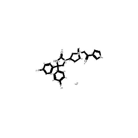 C[N+]1(CC(=O)c2ccsc2)CCC(N2CC(c3ccc(F)cc3)(c3ccc(F)cc3)NC2=O)C1.[I-]